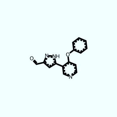 O=Cc1cc(-c2cnccc2Oc2ccccc2)[nH]n1